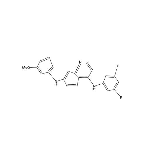 COc1cccc(Nc2ccc3c(Nc4cc(F)cc(F)c4)ccnc3c2)c1